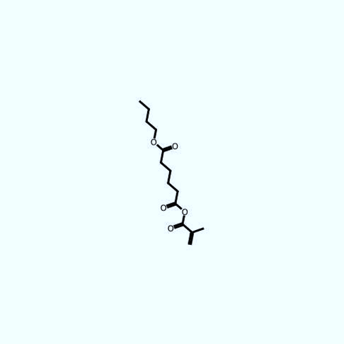 C=C(C)C(=O)OC(=O)CCCCC(=O)OCCCC